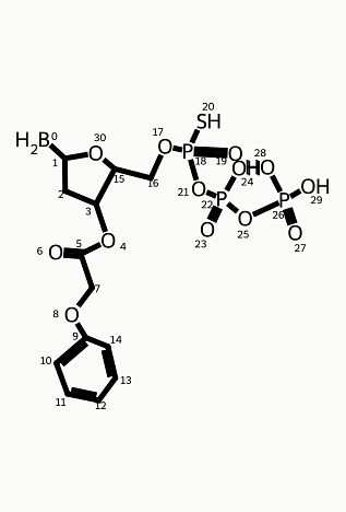 BC1CC(OC(=O)COc2ccccc2)C(COP(=O)(S)OP(=O)(O)OP(=O)(O)O)O1